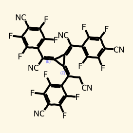 N#CC/C(=C1\C(=C(C#N)c2c(F)c(F)c(C#N)c(F)c2F)\C1=C(\C#N)c1c(F)c(F)c(C#N)c(F)c1F)c1c(F)c(F)c(C#N)c(F)c1F